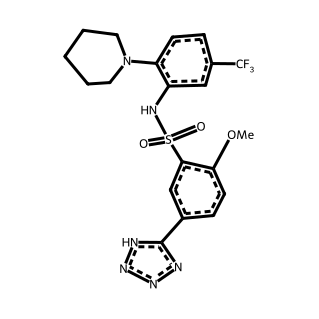 COc1ccc(-c2nnn[nH]2)cc1S(=O)(=O)Nc1cc(C(F)(F)F)ccc1N1CCCCC1